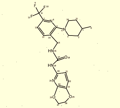 CC1CCN(c2nc(C(F)(F)F)ccc2CNC(=O)Nc2ccc3c(n2)OCCO3)CC1